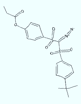 CCC(=O)Oc1ccc(S(=O)(=O)C(=[N+]=[N-])S(=O)(=O)c2ccc(C(C)(C)C)cc2)cc1